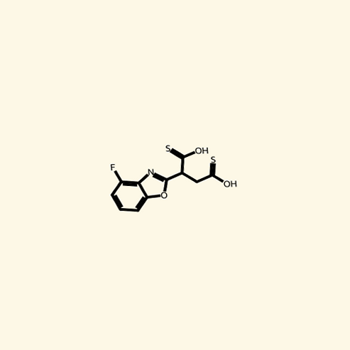 OC(=S)CC(C(O)=S)c1nc2c(F)cccc2o1